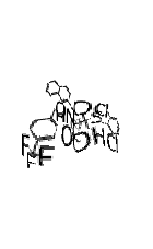 CC(C)(SCc1c(Cl)cccc1Cl)[C@H](NC(=O)c1ccc2ccccc2c1OCc1ccc(C(F)(F)F)cc1)C(=O)O